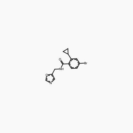 O=C(NCc1cnco1)c1ccc(Br)cc1C1CC1